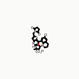 C[C@]1(C(=O)O)C[C@H](N2CCCc3cc(Cl)cc(-c4ccnc5cc(CN6C(=O)CCC6=O)sc45)c32)CN1